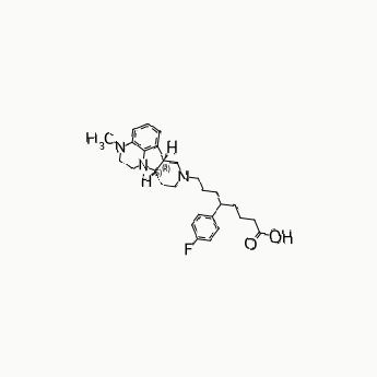 CN1CCN2c3c(cccc31)[C@@H]1CN(CCCC(CCCC(=O)O)c3ccc(F)cc3)CC[C@@H]12